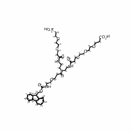 O=C(O)CCOCCOCCOCCC(=O)NCCN(CCNC(=O)CCOCCOCCC(=O)O)C(=O)CCOCCNC(=O)OCC1c2ccccc2-c2ccccc21